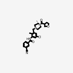 Cc1c(CN2CCN(C(=O)C3CCOC3)[C@@H](C)C2)cc(Cl)cc1NC(=O)c1cccc(C#N)c1